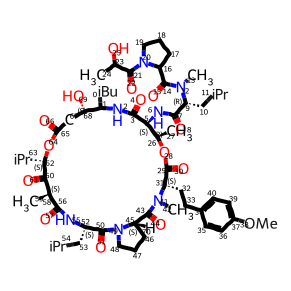 CCC(C)C1NC(=O)[C@@H](NC(=O)[C@@H](CC(C)C)N(C)C(=O)C2CCCN2C(=O)C(C)O)[C@@H](C)OC(=O)[C@H](CCc2ccc(OC)cc2)N(C)C(=O)[C@@H]2CCCN2C(=O)[C@H](CC(C)C)NC(=O)[C@@H](C)C(=O)[C@H](C(C)C)OC(=O)C[C@@H]1O